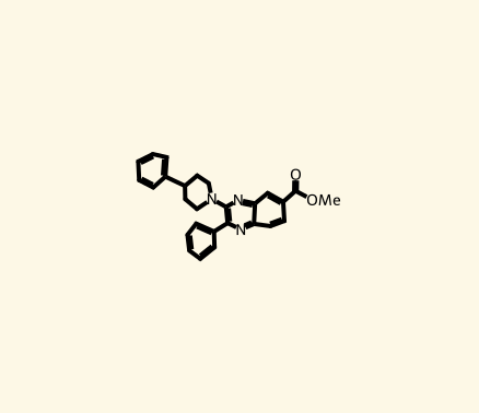 COC(=O)c1ccc2nc(-c3ccccc3)c(N3CCC(c4ccccc4)CC3)nc2c1